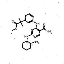 COC(=O)C(C)(C)c1cccc(Nc2nc(N[C@@H]3CCCC[C@@H]3N)ncc2C(N)=O)c1